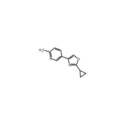 Cc1ccc(-c2coc(C3CC3)n2)cn1